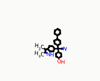 Cc1[nH]c2cc(C(C#N)(c3ccc(O)cc3)c3ccc(-c4ccccc4)cc3)ccc2c1C